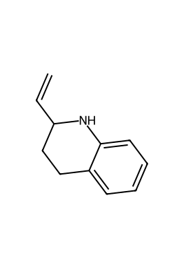 C=CC1CCc2ccccc2N1